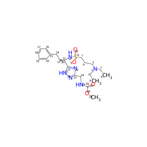 CCN(CC)CCCS(=O)(=O)N[C@H](CCc1ccccc1)c1nc(CNC(=O)OC)n[nH]1